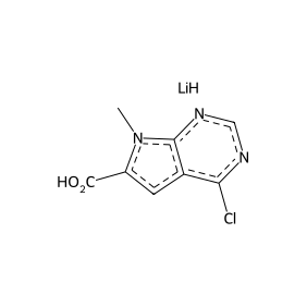 Cn1c(C(=O)O)cc2c(Cl)ncnc21.[LiH]